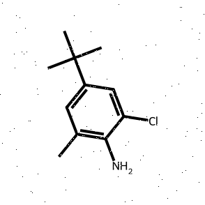 Cc1cc(C(C)(C)C)cc(Cl)c1N